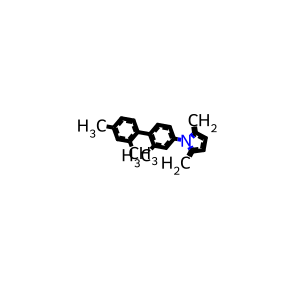 C=c1ccc(=C)n1-c1ccc(-c2ccc(C)cc2C)c(C)c1